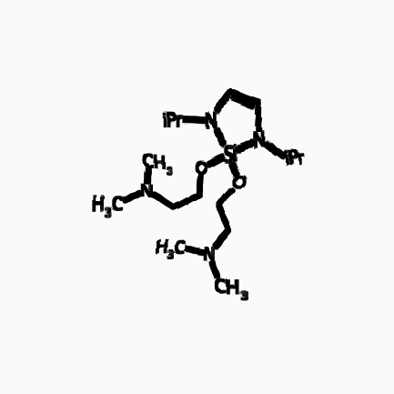 CC(C)N1C=CN(C(C)C)[Si]1(OCCN(C)C)OCCN(C)C